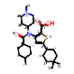 CC1CCC(C(=O)N(c2cc(C3CCC(C)(C)CC3)sc2C(=O)O)C2CCN(C)CC2)CC1